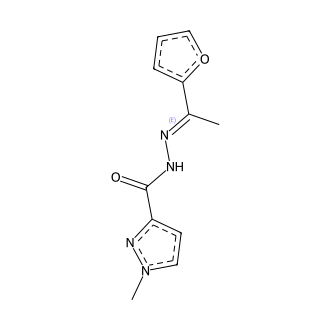 C/C(=N\NC(=O)c1ccn(C)n1)c1ccco1